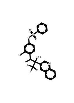 CC(c1ccc(OS(=O)(=O)c2ccccc2)cc1Cl)C(O)(c1cnc2ccccc2c1)C(F)(F)F